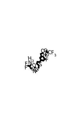 NCC(Cn1ncn(Cc2ccc(-c3cc(F)c4c(c3)CC(=O)N4OC(=O)C(F)(F)F)s2)c1=O)=C(F)F